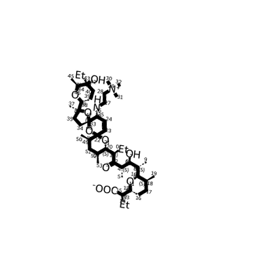 CC[C@@H](C(=O)[C@@H](C)[C@@H](O)[C@H](C)[C@@H]1O[C@@H]([C@@H](CC)C(=O)[O-])CC[C@@H]1C)[C@H]1OC2(C=C[C@@H](NCC[N+](C)(C)C)[C@]3(CC[C@@](C)([C@H]4CC[C@](O)(CC)[C@H](C)O4)O3)O2)[C@H](C)C[C@@H]1C